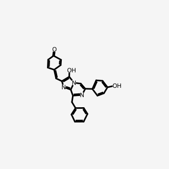 O=C1C=CC(=Cc2nc3c(Cc4ccccc4)nc(-c4ccc(O)cc4)cn3c2O)C=C1